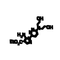 CCOC(=O)c1cnn(-c2ccc(N(CCO)CCO)nn2)c1N